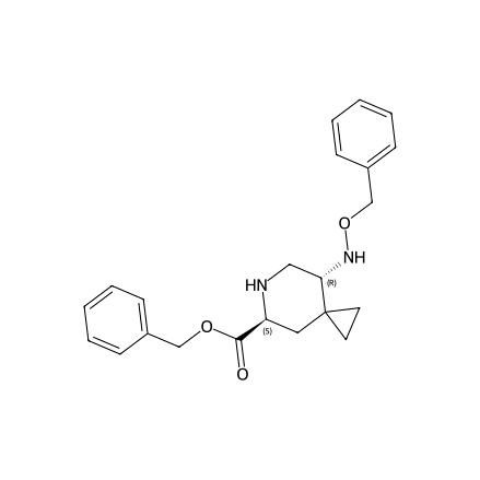 O=C(OCc1ccccc1)[C@@H]1CC2(CC2)[C@@H](NOCc2ccccc2)CN1